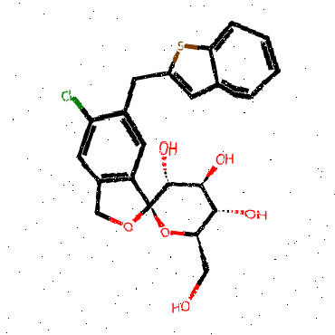 OC[C@H]1O[C@]2(OCc3cc(Cl)c(Cc4cc5ccccc5s4)cc32)[C@H](O)[C@@H](O)[C@@H]1O